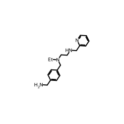 CCN(CCNCc1ccccn1)Cc1ccc(CN)cc1